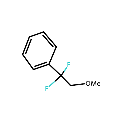 COCC(F)(F)c1ccccc1